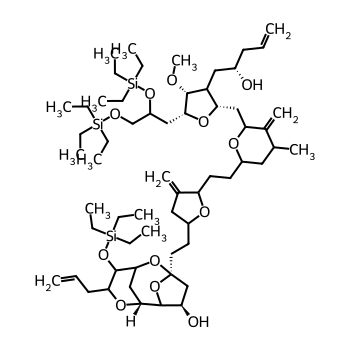 C=CCC1O[C@@H]2CC(O[C@@]3(CCC4CC(=C)C(CCC5CC(C)C(=C)C(C[C@@H]6O[C@H](CC(CO[Si](CC)(CC)CC)O[Si](CC)(CC)CC)[C@H](OC)C6C[C@@H](O)CC=C)O5)O4)C[C@@H](O)C2O3)C1O[Si](CC)(CC)CC